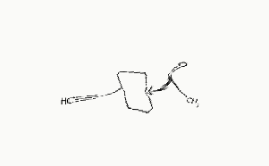 C#CC1CCN(C(C)=O)CC1